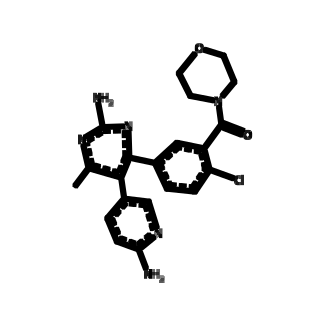 Cc1nc(N)nc(-c2ccc(Cl)c(C(=O)N3CCOCC3)c2)c1-c1ccc(N)nc1